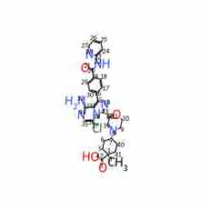 CC1(C(=O)O)CCC(N2CCO[C@@H](c3nc(-c4ccc(C(=O)Nc5ccccn5)cc4)c4c(N)ncc(Cl)n34)C2)CC1